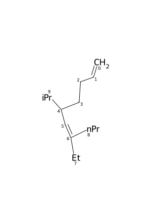 C=CCCC(C=C(CC)CCC)C(C)C